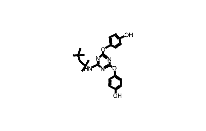 CC(C)(C)CC(C)(C)Nc1nc(Oc2ccc(O)cc2)nc(Oc2ccc(O)cc2)n1